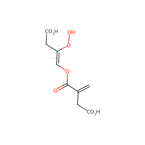 C=C(CC(=O)O)C(=O)O/C=C(/CC(=O)O)OO